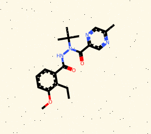 CCc1c(OC)cccc1C(=O)NN(C(=O)c1cnc(C)cn1)C(C)(C)C